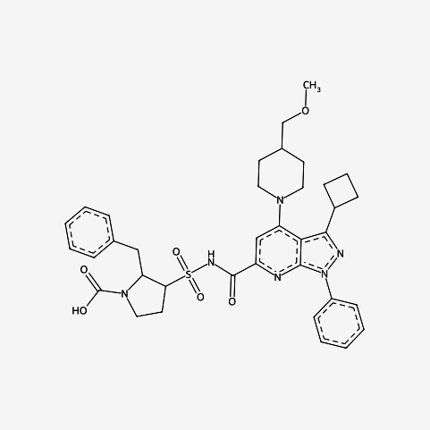 COCC1CCN(c2cc(C(=O)NS(=O)(=O)C3CCN(C(=O)O)C3Cc3ccccc3)nc3c2c(C2CCC2)nn3-c2ccccc2)CC1